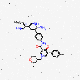 CN/C=C(\C=N)C1=CNC(N)C(c2ccc(NC(=O)c3cn(CC4CCOCC4)cc(-c4ccc(C)cc4)c3=O)cc2)=C1